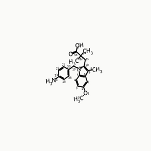 COc1ccc2c(c1)c(C)c(CC(C)(C)C(=O)O)n2Cc1ccc(N)cc1